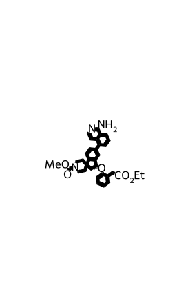 CCOC(=O)Cc1ccccc1O[C@H]1CC2(CCN(C(=O)OC)CC2)c2ccc(-c3cccc4c(N)nccc34)cc21